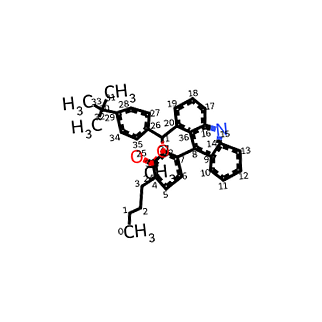 CCCCc1ccc(-c2c3ccccc3nc3cccc(C(OC(C)=O)c4ccc(C(C)(C)C)cc4)c23)cc1